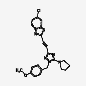 COc1ccc(Cn2nc(C#Cc3nc4cc(Cl)ccn4n3)nc2N2CCCC2)cc1